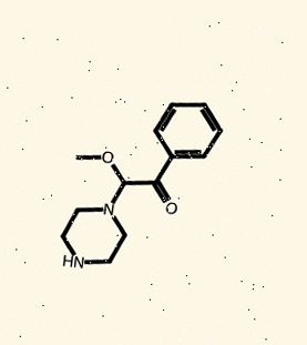 COC(C(=O)c1ccccc1)N1CCNCC1